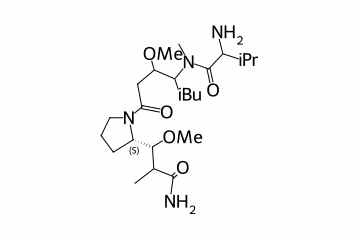 CCC(C)C(C(CC(=O)N1CCC[C@H]1C(OC)C(C)C(N)=O)OC)N(C)C(=O)C(N)C(C)C